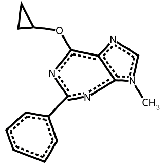 Cn1cnc2c(OC3CC3)nc(-c3ccccc3)nc21